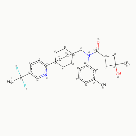 CC(F)(F)c1ccc(C23CCC(CN(C(=O)C4CC(O)(C(F)(F)F)C4)c4cccc(C#N)c4)(CC2)CC3)nc1